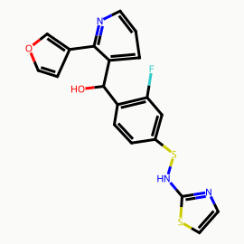 OC(c1ccc(SNc2nccs2)cc1F)c1cccnc1-c1ccoc1